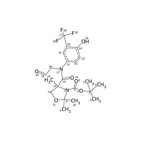 CC(C)(C)OC(=O)N1C(C)(C)OCC1(C)C(=O)N(CC=O)c1ccc(O)c(C(F)(F)F)c1